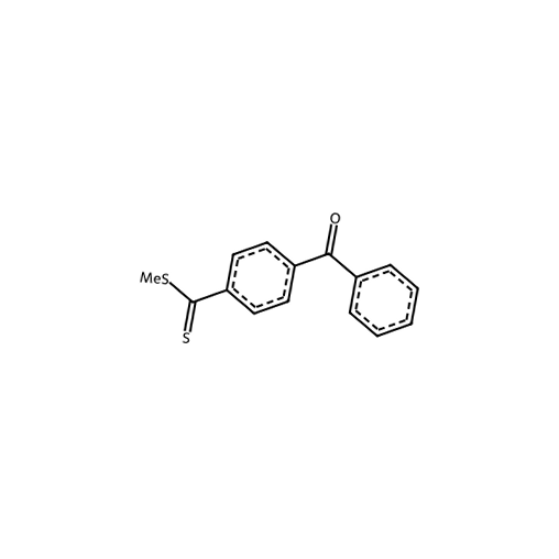 CSC(=S)c1ccc(C(=O)c2ccccc2)cc1